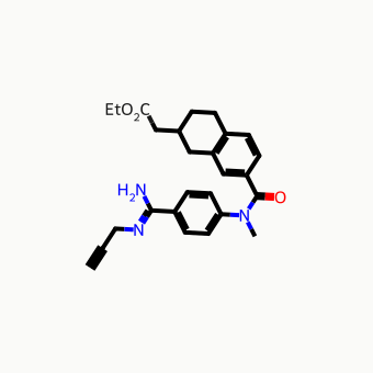 C#CCN=C(N)c1ccc(N(C)C(=O)c2ccc3c(c2)CC(CC(=O)OCC)CC3)cc1